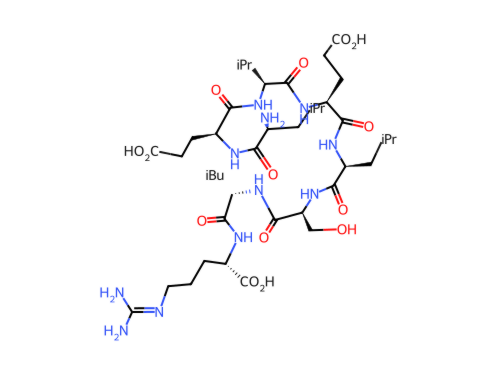 CC[C@H](C)[C@H](NC(=O)[C@H](CO)NC(=O)[C@H](CC(C)C)NC(=O)[C@H](CCC(=O)O)NC(=O)[C@@H](NC(=O)[C@H](CCC(=O)O)NC(=O)[C@@H](N)CC(C)C)C(C)C)C(=O)N[C@@H](CCCN=C(N)N)C(=O)O